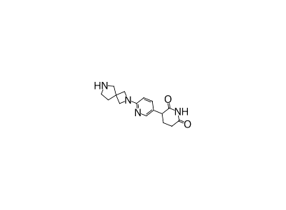 O=C1CCC(c2ccc(N3CC4(CCNC4)C3)nc2)C(=O)N1